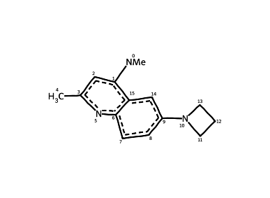 CNc1cc(C)nc2ccc(N3CCC3)cc12